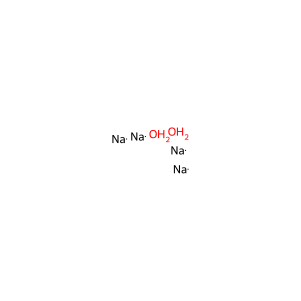 O.O.[Na].[Na].[Na].[Na]